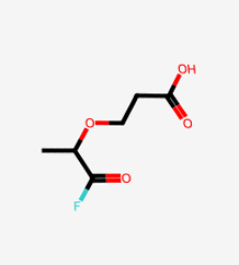 CC(OCCC(=O)O)C(=O)F